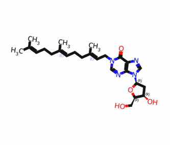 CC(C)=CCC/C(C)=C/CC/C(C)=C/Cn1cnc2c(ncn2[C@H]2C[C@@H](O)[C@@H](CO)O2)c1=O